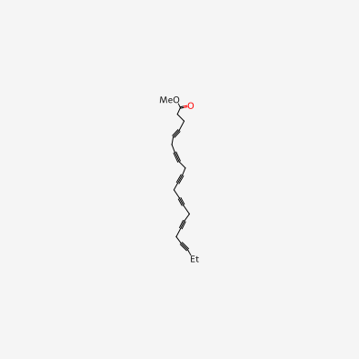 CCC#CCC#CCC#CCC#CCC#CCC#CCCC(=O)OC